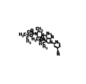 CNC(=O)C1(C)CN(c2cc(C#N)ccn2)c2ncnc(N3C[C@@H](C)N(C(=O)OC(C)(C)C)C[C@@H]3C)c21